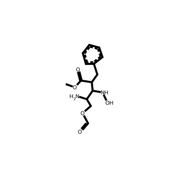 COC(=O)C(Cc1ccccc1)C(NO)C(N)COC=O